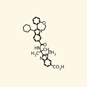 Cn1c(C(C)(C)NC(=O)c2ccc3c(C4CCCCC4)c4n(c3c2)CCOc2ccccc2-4)nc2ccc(C(=O)O)cc21